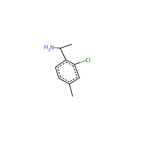 Cc1ccc(C(C)N)c(Cl)c1